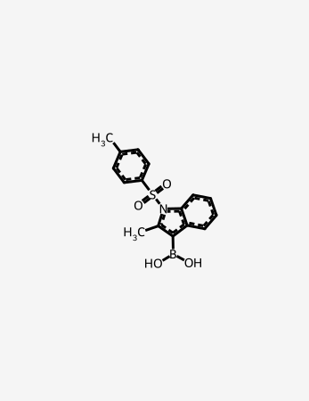 Cc1ccc(S(=O)(=O)n2c(C)c(B(O)O)c3ccccc32)cc1